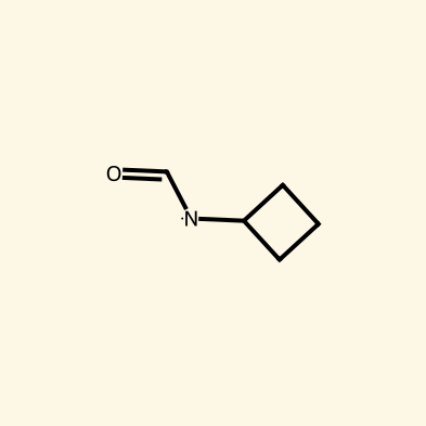 O=C[N]C1CCC1